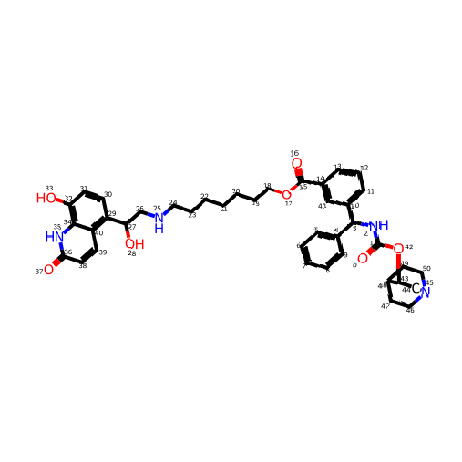 O=C(NC(c1ccccc1)c1cccc(C(=O)OCCCCCCCNCC(O)c2ccc(O)c3[nH]c(=O)ccc23)c1)OC1CN2CCC1CC2